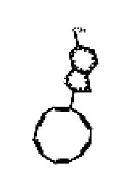 COc1ccc2cc(C3=CC=CC=CC=CC=CC=C3)sc2c1